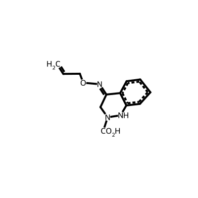 C=CCO/N=C1\CN(C(=O)O)Nc2ccccc21